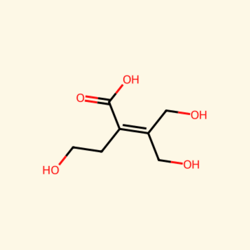 O=C(O)C(CCO)=C(CO)CO